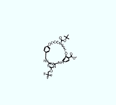 COC(=O)c1ccc2cc1OCCCN(C(=O)OC(C)(C)C)CCCOc1ccc(cc1)CNc1nc(nc(OCC(F)(F)F)n1)N2